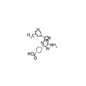 Cc1cncc(-c2cnn3c(N)c(Br)c([C@H]4CC[C@H](C(=O)O)CC4)nc23)c1